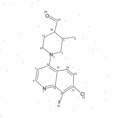 CC1CN(c2ccnc3c(F)c(Cl)ccc23)CCC1C=O